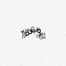 CC(C)Oc1cc2[nH]c(=O)c([C@H](C)Nc3cc(NC(=O)O)ccn3)cc2cc1Cl